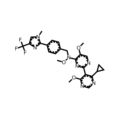 COc1cnc(-c2c(OC)ncnc2C2CC2)nc1N(Cc1ccc(-c2nc(C(F)(F)F)cn2C)cc1)OC